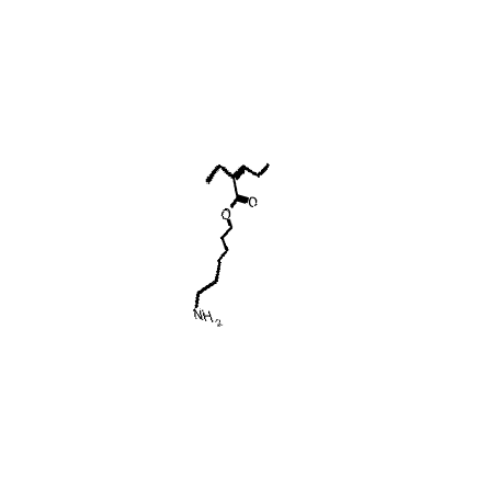 CCC=C(CC)C(=O)OCCCCCCN